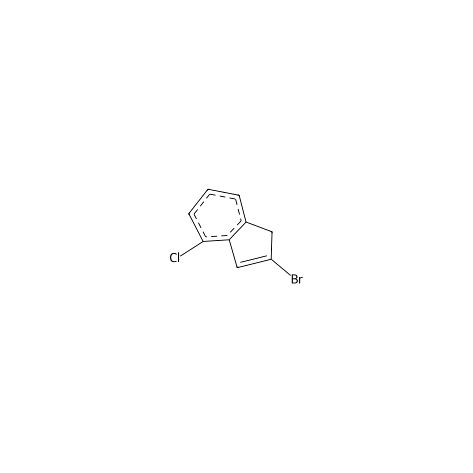 Clc1cccc2c1C=C(Br)C2